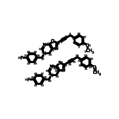 COc1ccc(CC#Cc2nc3c(o2)N=CN(Cc2ccc(F)cc2)C3)cc1.COc1ccc(CC#Cc2nc3c(s2)N=CN(Cc2ccc(F)cc2)C3)cc1